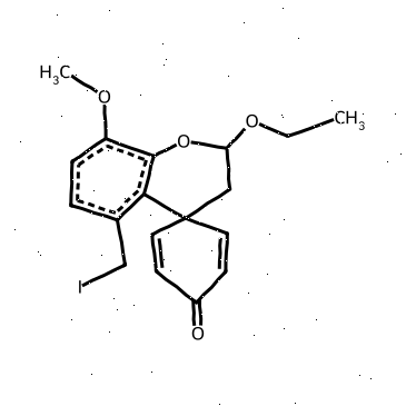 CCOC1CC2(C=CC(=O)C=C2)c2c(CI)ccc(OC)c2O1